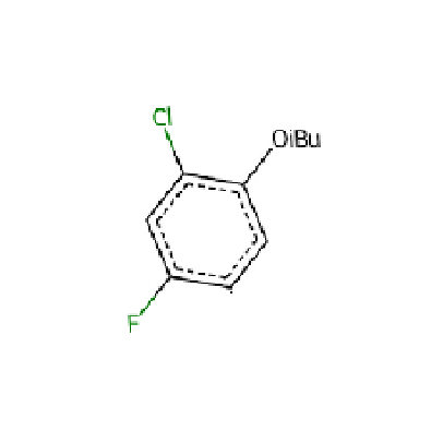 CC(C)COc1c[c]c(F)cc1Cl